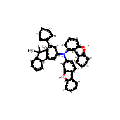 CC1(C)c2ccccc2-c2cc(N(c3ccc4c(c3)oc3ccccc34)c3cccc4oc5ccccc5c34)cc(-c3ccccc3)c21